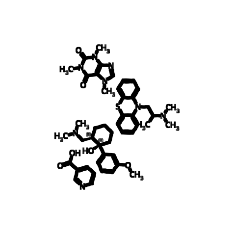 CC(CN1c2ccccc2Sc2ccccc21)N(C)C.COc1cccc([C@@]2(O)CCCC[C@@H]2CN(C)C)c1.Cn1c(=O)c2c(ncn2C)n(C)c1=O.O=C(O)c1cccnc1